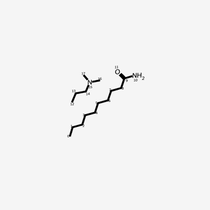 CCCCCCCCCC(N)=O.CCCN(C)C